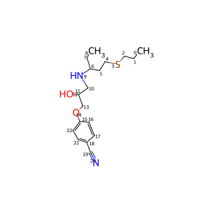 CCCSCCC(CC)NCC(O)COc1ccc(C#N)cc1